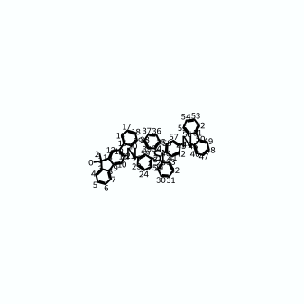 CC1(C)c2ccccc2-c2cc3c(cc21)c1ccccc1n3-c1cccc([Si](c2ccccc2)(c2ccccc2)c2ccc(-n3c4ccccc4c4ccccc43)cc2)c1